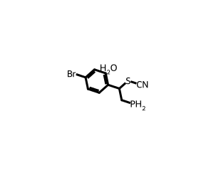 N#CSC(CP)c1ccc(Br)cc1.O